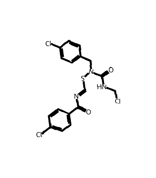 O=C(/N=C/SN(Cc1ccc(Cl)cc1)C(=O)NCCl)c1ccc(Cl)cc1